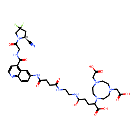 N#C[C@@H]1CC(F)(F)CN1C(=O)CNC(=O)c1ccnc2ccc(NC(=O)CCC(=O)NCCNC(O)CCC(C(=O)O)N3CCN(CC(=O)O)CCN(CC(=O)O)CC3)cc12